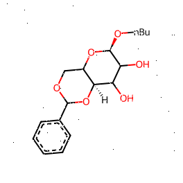 CCCCO[C@@H]1OC2COC(c3ccccc3)O[C@@H]2C(O)C1O